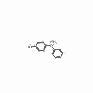 Oc1ccc(Oc2ccccc2)cc1.[AlH3]